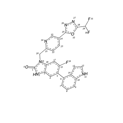 O=c1[nH]c2cc(-c3cccc4[nH]ccc34)c(F)cc2n1Cc1ccc(-c2nnc(C(F)F)o2)cn1